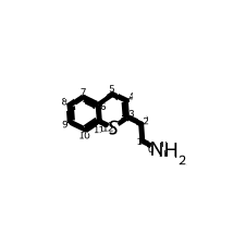 NCCC1=CCc2ccccc2S1